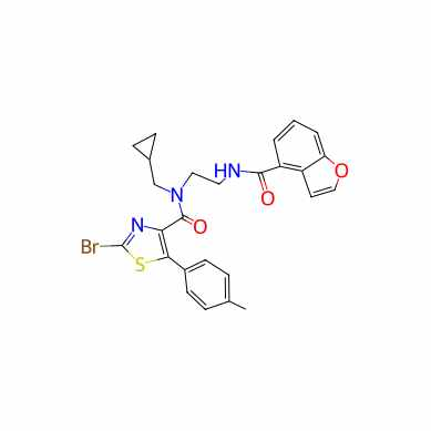 Cc1ccc(-c2sc(Br)nc2C(=O)N(CCNC(=O)c2cccc3occc23)CC2CC2)cc1